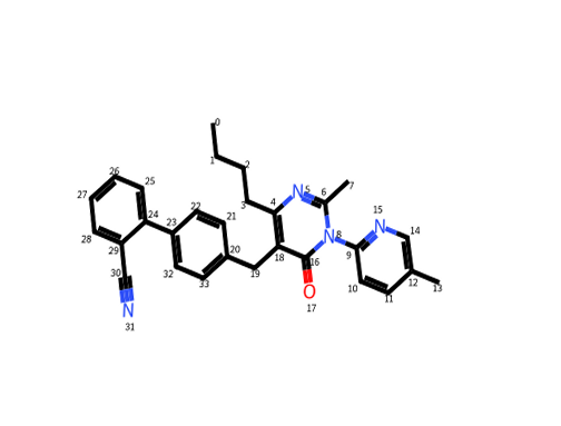 CCCCc1nc(C)n(-c2ccc(C)cn2)c(=O)c1Cc1ccc(-c2ccccc2C#N)cc1